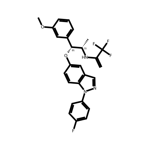 C=C(N[C@@H](C)[C@H](Oc1ccc2c(cnn2-c2ccc(F)cc2)c1)c1cccc(OC)c1)C(F)(F)F